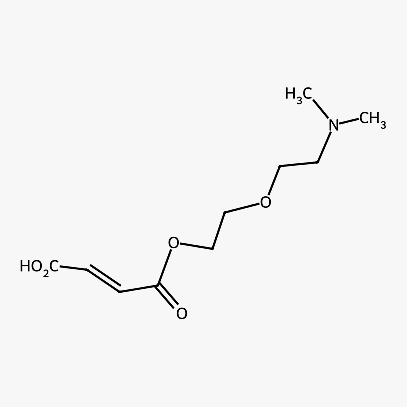 CN(C)CCOCCOC(=O)C=CC(=O)O